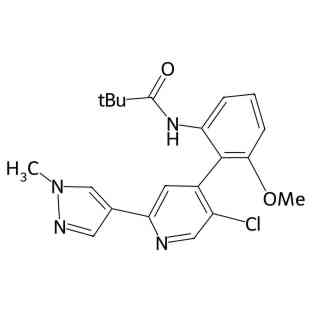 COc1cccc(NC(=O)C(C)(C)C)c1-c1cc(-c2cnn(C)c2)ncc1Cl